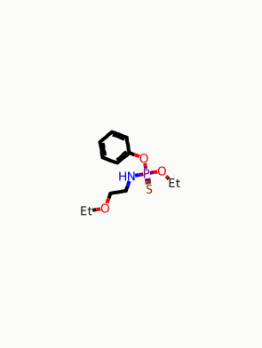 CCOCCNP(=S)(OCC)Oc1ccccc1